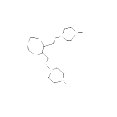 CN1CCN(NCC2OCOCOC2CNN2CCN(C)CC2)CC1